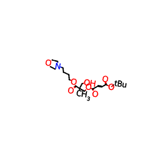 CC(C)(C)OC(=O)/C=C/C(=O)OCC(C)(CO)C(=O)OCCCCN1CCOCC1